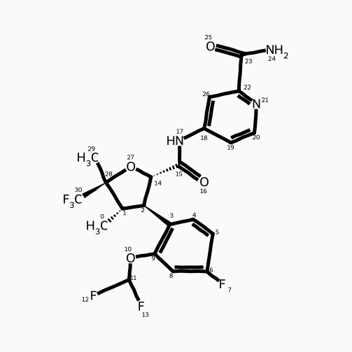 C[C@H]1[C@H](c2ccc(F)cc2OC(F)F)[C@@H](C(=O)Nc2ccnc(C(N)=O)c2)O[C@]1(C)C(F)(F)F